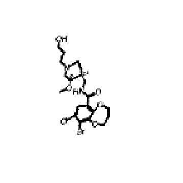 CO[C@@H]1CN(CCCO)CC[C@H]1CNC(=O)c1cc(Cl)c(Br)c2c1OCCCO2